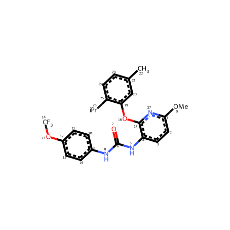 COc1ccc(NC(=O)Nc2ccc(OC(F)(F)F)cc2)c(Oc2cc(C)ccc2C(C)C)n1